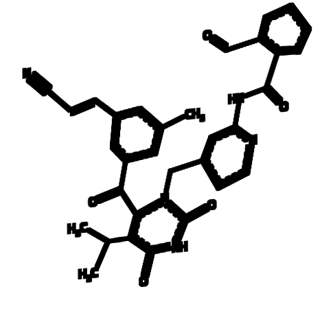 Cc1cc(/C=C/C#N)cc(C(=O)c2c(C(C)C)c(=O)[nH]c(=O)n2Cc2ccnc(NC(=O)c3ccccc3C=O)c2)c1